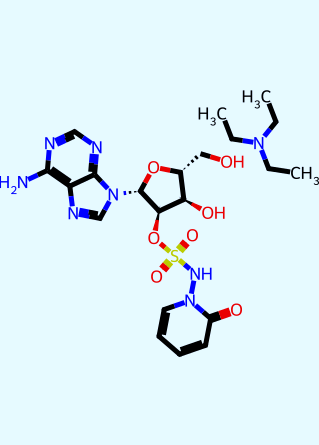 CCN(CC)CC.Nc1ncnc2c1ncn2[C@@H]1O[C@H](CO)[C@@H](O)[C@H]1OS(=O)(=O)Nn1ccccc1=O